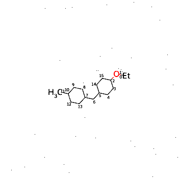 CCOC1CCC(CC2CCC(C)CC2)CC1